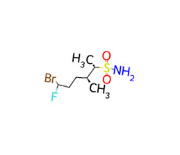 C[C@H]([C@@H](C)CCC(F)Br)S(N)(=O)=O